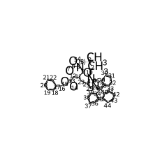 CC(C)[C@H]1COC(=O)N1C(=O)C(CC(=O)OCc1ccccc1)Cc1cn(C(c2ccccc2)(c2ccccc2)c2ccccc2)cn1